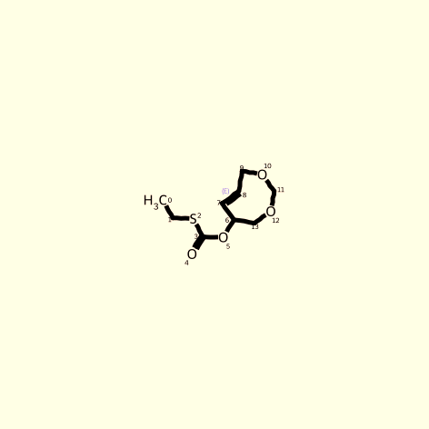 CCSC(=O)OC1/C=C/COCOC1